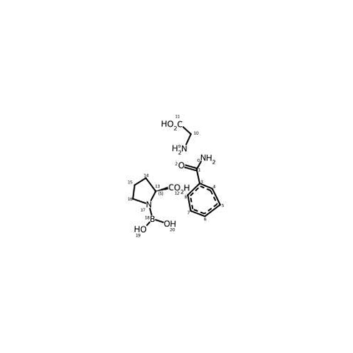 NC(=O)c1ccccc1.NCC(=O)O.O=C(O)[C@@H]1CCCN1B(O)O